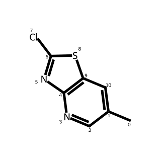 Cc1cnc2nc(Cl)sc2c1